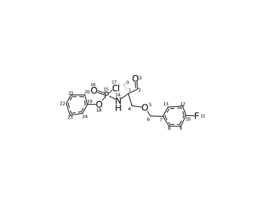 C[C@](C=O)(COCc1ccc(F)cc1)NP(=O)(Cl)Oc1ccccc1